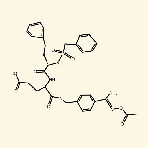 CC(=O)O/N=C(\N)c1ccc(CNC(=O)C(CCC(=O)O)NC(=O)[C@@H](CCc2ccccc2)NS(=O)(=O)Cc2ccccc2)cc1